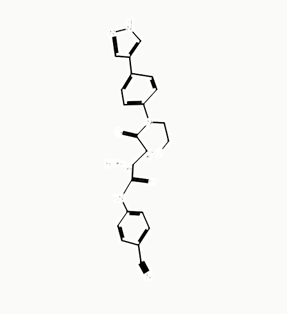 N#Cc1ccc(NC(=O)[C@H](O)[C@H]2OCCN(c3ccc(-c4cn[nH]c4)cc3)C2=O)cc1